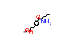 CCCCC(N)C(=O)c1ccc(CCC(=O)OCC)cc1